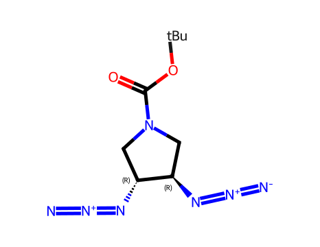 CC(C)(C)OC(=O)N1C[C@@H](N=[N+]=[N-])[C@H](N=[N+]=[N-])C1